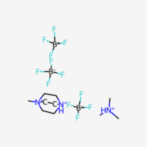 C[N+]12CC[NH+](CC1)CC2.C[NH+](C)C.F[B-](F)(F)F.F[B-](F)(F)F.F[B-](F)(F)F